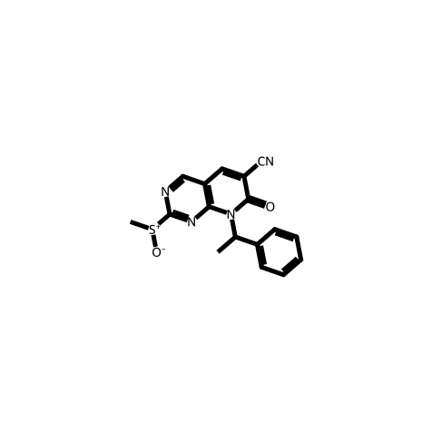 CC(c1ccccc1)n1c(=O)c(C#N)cc2cnc([S+](C)[O-])nc21